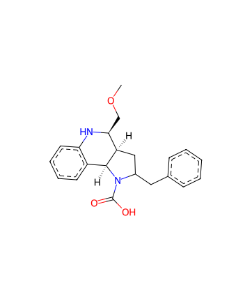 COC[C@@H]1Nc2ccccc2[C@H]2[C@@H]1CC(Cc1ccccc1)N2C(=O)O